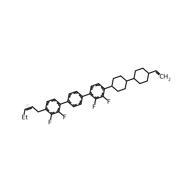 C=CC1CCC(C2CCC(c3ccc(-c4ccc(-c5ccc(C/C=C\CC)c(F)c5F)cc4)c(F)c3F)CC2)CC1